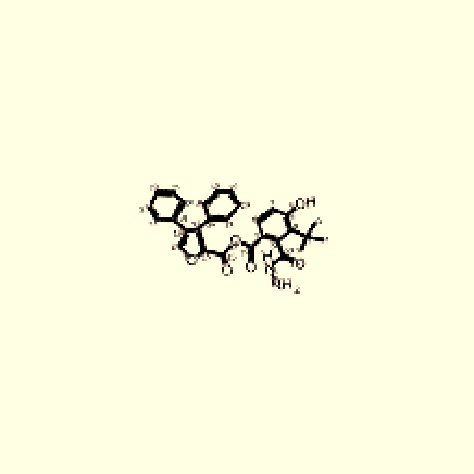 CC(C)(C)c1c(O)ccc(C(=O)OC(=O)c2occ(-c3ccccc3)c2-c2ccccc2)c1C(=O)NN